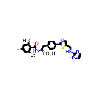 CCc1cc(F)cc(C)c1C(=O)NC(Cc1ccc(-c2ncc(CNc3ncc[nH]3)s2)cc1)C(=O)O